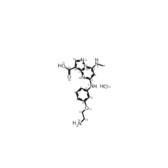 CNc1cc(Nc2cccc(OCCN)c2)nc2c(C(=O)O)cnn12.Cl